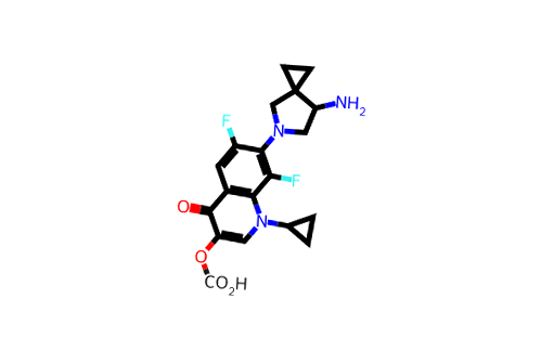 NC1CN(c2c(F)cc3c(=O)c(OC(=O)O)cn(C4CC4)c3c2F)CC12CC2